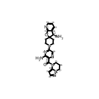 Nc1nc(N2CCC3(CC2)Oc2ncccc2[C@H]3N)cnc1C(=O)N1CCCn2nccc21